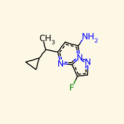 CC(c1cc(N)n2ncc(F)c2n1)C1CC1